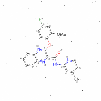 COc1cc(F)ccc1Oc1nc2ccccc2nc1C(=O)Nc1cc(C#N)ccn1